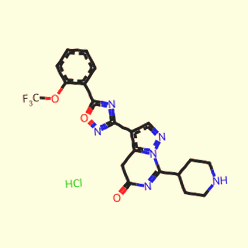 Cl.O=C1Cc2c(-c3noc(-c4ccccc4OC(F)(F)F)n3)cnn2C(C2CCNCC2)=N1